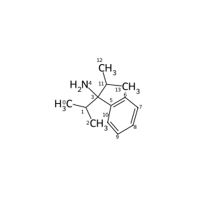 CC(C)C(N)(c1ccccc1)C(C)C